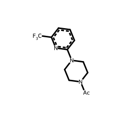 CC(=O)N1CCN(c2cccc(C(F)(F)F)n2)CC1